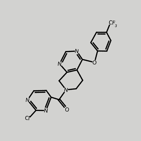 O=C(c1ccnc(Cl)n1)N1CCc2c(ncnc2Oc2ccc(C(F)(F)F)cc2)C1